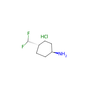 Cl.N[C@H]1CC[C@H](C(F)F)CC1